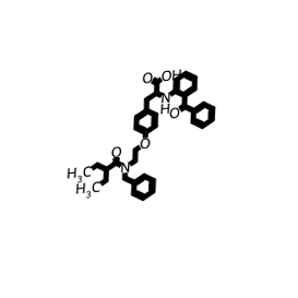 CCC(CC)C(=O)N(CCOc1ccc(CC(Nc2ccccc2C(=O)c2ccccc2)C(=O)O)cc1)Cc1ccccc1